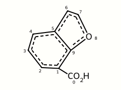 O=C(O)c1cccc2ccoc12